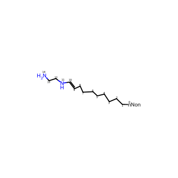 CCCCCCCCCCCCCCCCCC=CNCCN